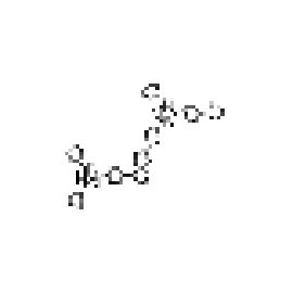 c1ccc(-c2ccc(-c3nc(-c4ccccc4)nc(-c4ccc(-c5ccc6c(-c7ccc(-c8nc(-c9ccccc9)nc(-c9ccccc9)n8)cc7)cccc6c5)cc4)n3)cc2)cc1